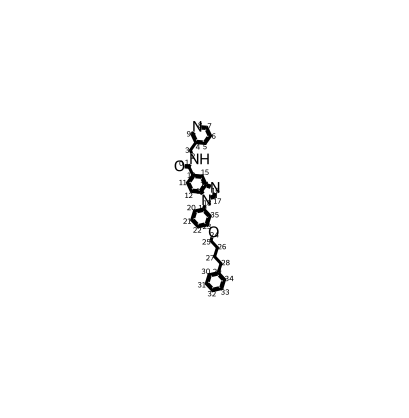 O=C(NCc1cccnc1)c1ccc2c(c1)ncn2-c1cccc(OCCCCc2ccccc2)c1